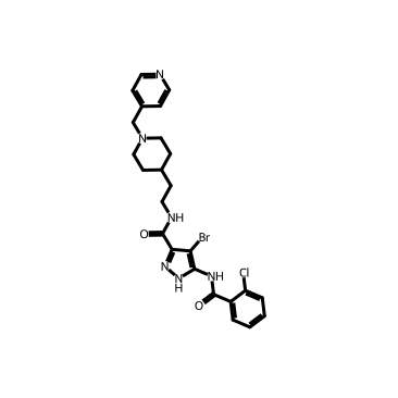 O=C(Nc1[nH]nc(C(=O)NCCC2CCN(Cc3ccncc3)CC2)c1Br)c1ccccc1Cl